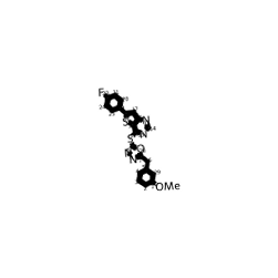 COc1cccc(Cc2nnc(Sc3ncnc4cc(-c5ccc(F)cc5)sc34)o2)c1